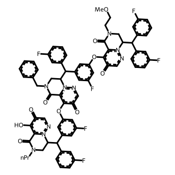 CCCN1CC(C(c2cccc(F)c2)c2cc(F)cc(Oc3c4n(ncc3=O)C(C(c3cccc(F)c3)c3cc(F)cc(Oc5c6n(ncc5=O)C(C(c5cccc(F)c5)c5cccc(F)c5)CN(CCOC)C6=O)c3)CN(Cc3ccccc3)C4=O)c2)n2ncc(=O)c(O)c2C1=O